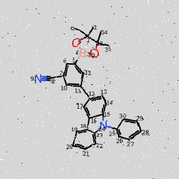 CC1(C)OB(c2cc(C#N)cc(-c3ccc4c(c3)c3ccccc3n4-c3ccccc3)c2)OC1(C)C